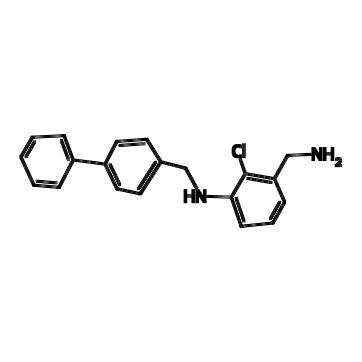 NCc1cccc(NCc2ccc(-c3ccccc3)cc2)c1Cl